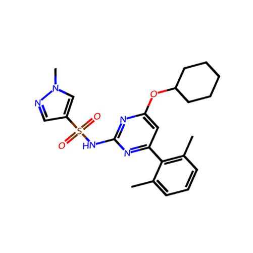 Cc1cccc(C)c1-c1cc(OC2CCCCC2)nc(NS(=O)(=O)c2cnn(C)c2)n1